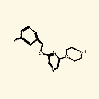 Fc1cccc(COc2cncc(N3CCNCC3)n2)c1